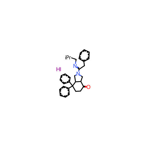 CC(C)CN=C(Cc1ccccc1)N1CC2C(=O)CCC(c3ccccc3)(c3ccccc3)C2C1.I